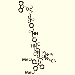 COc1ccc(C(OC[C@@H](OCn2ccc(NC(=O)c3ccc(CNC(=O)Cc4ccc(OC(=O)OCCN(C)C(=O)OCC5c6ccccc6-c6ccccc65)cc4)cc3)nc2=O)C(C)OP(OCCC#N)N(C(C)C)C(C)C)(c2ccccc2)c2ccc(OC)cc2)cc1